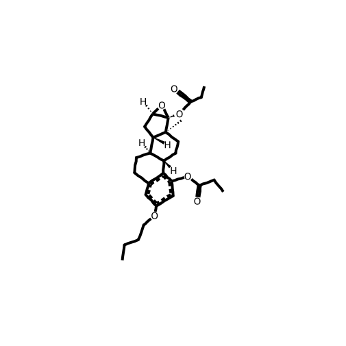 CCCCOc1cc2c(c(OC(=O)CC)c1)[C@H]1CC[C@@]3(C)[C@@H](C[C@H]4O[C@]43OC(=O)CC)[C@@H]1CC2